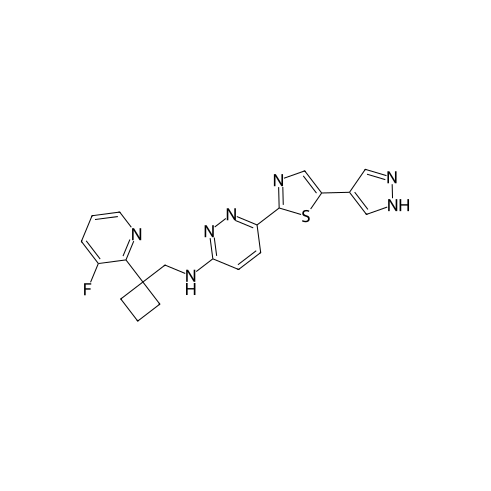 Fc1cccnc1C1(CNc2ccc(-c3ncc(-c4cn[nH]c4)s3)nn2)CCC1